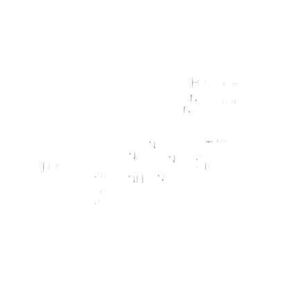 CCCCS(=O)(=O)CCNc1ncnc2c1ncn2[C@@H]1O[C@H](c2nnc(C(C)(C)C)o2)[C@@H](O)[C@H]1O